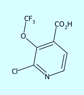 O=C(O)c1ccnc(Cl)c1OC(F)(F)F